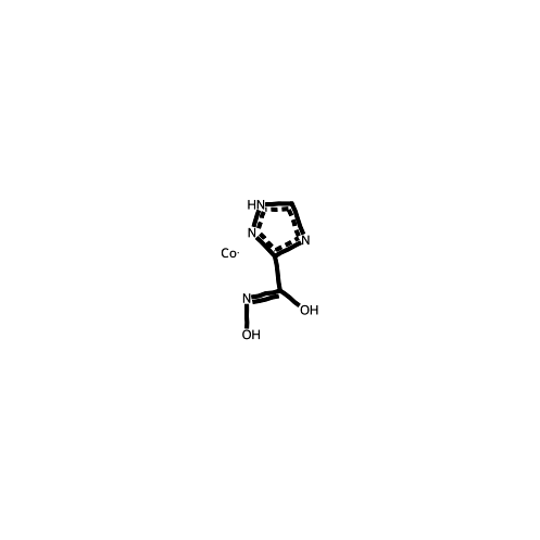 ON=C(O)c1nc[nH]n1.[Co]